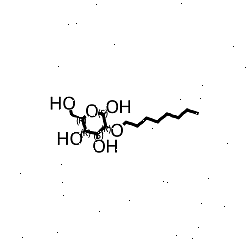 CCCCCCCCO[C@@H]1[C@@H](O)[C@@H](O)[C@@H](CO)O[C@@H]1O